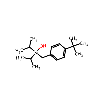 CC(C)[Si](O)(Cc1ccc(C(C)(C)C)cc1)C(C)C